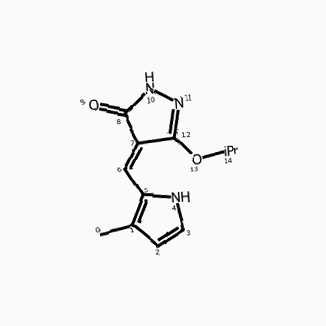 Cc1cc[nH]c1C=C1C(=O)NN=C1OC(C)C